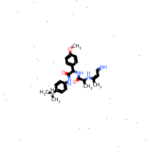 COc1ccc(C(NC(=O)C(C)N/C(C)=C\C=N)C(=O)Nc2ccc([SiH](C)C)cc2)cc1